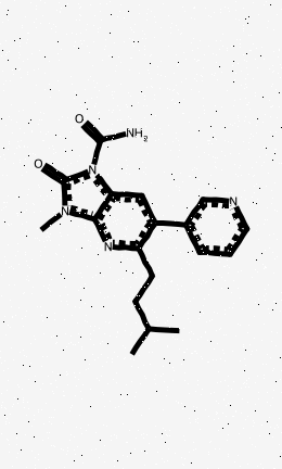 CC(C)CCc1nc2c(cc1-c1cccnc1)n(C(N)=O)c(=O)n2C